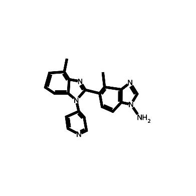 Cc1c(-c2nc3c(C)cccc3n2-c2ccncc2)ccc2c1ncn2N